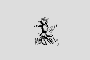 CO[C@@]1(N)C(=O)N2C(C(=O)O)=C(C(=S)c3cnns3)CS[C@H]21